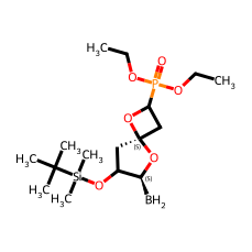 B[C@@H]1O[C@]2(CC1O[Si](C)(C)C(C)(C)C)CC(P(=O)(OCC)OCC)O2